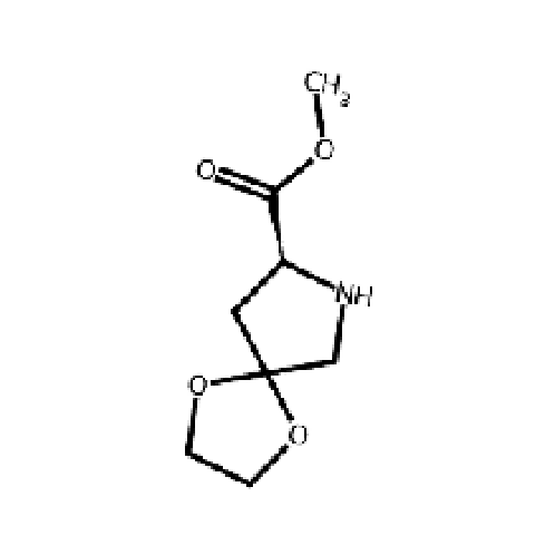 COC(=O)[C@@H]1CC2(CN1)OCCO2